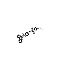 N[C@H]1CC[C@@H](C(=O)NCCN2CCC(OC(=O)Nc3ccccc3-c3ccccc3)CC2)C1